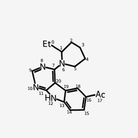 CCC1CCCCN1c1ncnc2[nH]c3ccc(C(C)=O)cc3c12